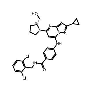 O=C(NCc1c(Cl)cccc1Cl)c1ccc(Nc2cc(N3CCC[C@@H]3CO)nc3cc(C4CC4)nn23)cc1